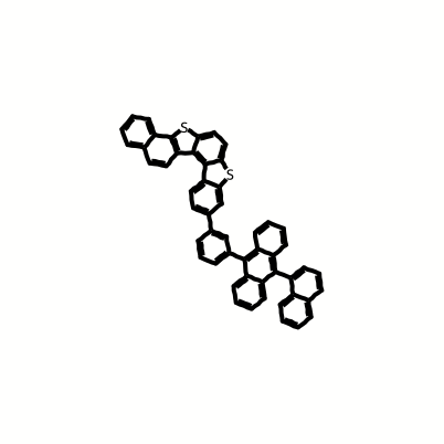 c1cc(-c2ccc3c(c2)sc2ccc4sc5c6ccccc6ccc5c4c23)cc(-c2c3ccccc3c(-c3cccc4ccccc34)c3ccccc23)c1